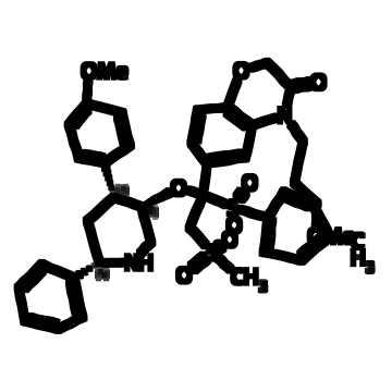 COCCCN1C(=O)COc2ccc(C(CS(C)(=O)=O)(O[C@H]3CN[C@H](c4ccccc4)C[C@@H]3c3ccc(OC)cc3)S(=O)(=O)c3ccc(C)cc3)cc21